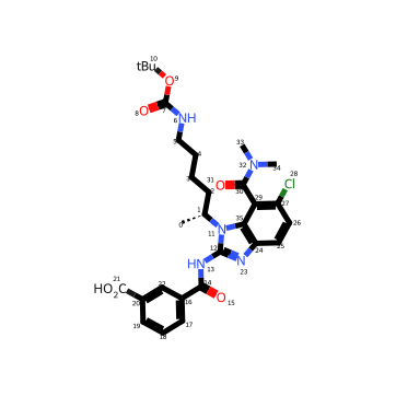 C[C@H](CCCCNC(=O)OC(C)(C)C)n1c(NC(=O)c2cccc(C(=O)O)c2)nc2ccc(Cl)c(C(=O)N(C)C)c21